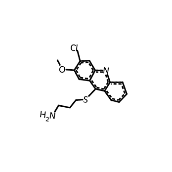 COc1cc2c(SCCCN)c3ccccc3nc2cc1Cl